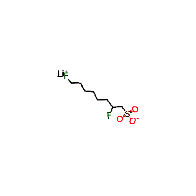 O=S(=O)([O-])CC(F)CCCCCCF.[Li+]